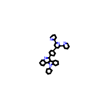 c1ccc(-n2c3ccccc3c3c(-c4ccc(-c5cc(-c6ccccn6)nc(-c6ccccn6)c5)cc4)nc4ccccc4c32)cc1